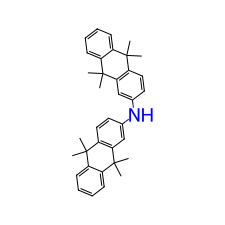 CC1(C)c2ccccc2C(C)(C)c2cc(Nc3ccc4c(c3)C(C)(C)c3ccccc3C4(C)C)ccc21